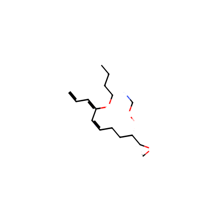 C=C/C=C(\C=C/CC[C@H](BOCN)[C@H]1CO1)OCCCC